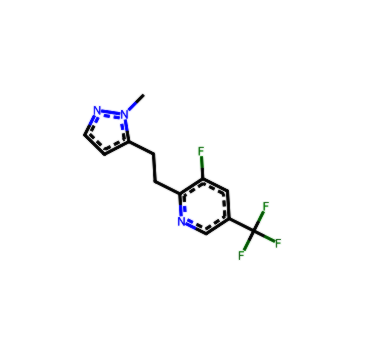 Cn1nccc1CCc1ncc(C(F)(F)F)cc1F